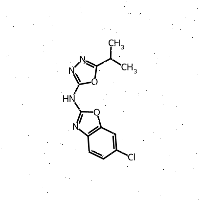 CC(C)c1nnc(Nc2nc3ccc(Cl)cc3o2)o1